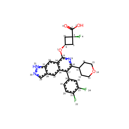 O=C(O)[C@]1(F)C[C@@H](Oc2nc(C3CCOCC3)c(-c3ccc(F)c(F)c3)c3cc4cn[nH]c4cc23)C1